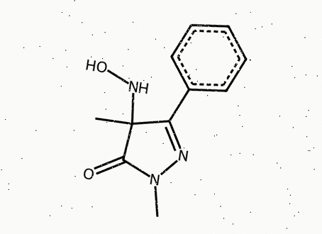 CN1N=C(c2c[c]ccc2)C(C)(NO)C1=O